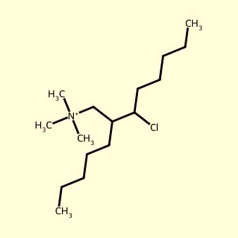 CCCCCC(Cl)C(CCCCC)C[N+](C)(C)C